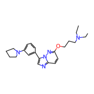 CCN(CC)CCCOc1ccc2ncc(-c3cccc(N4CCCC4)c3)n2n1